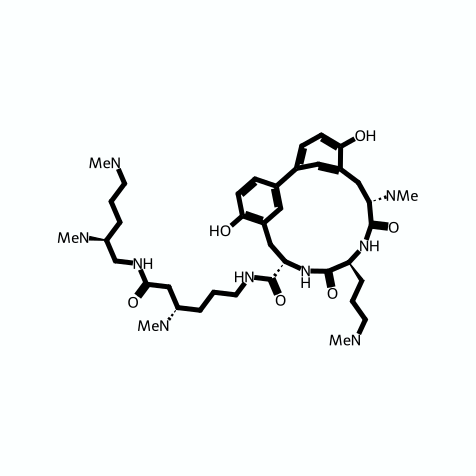 CNCCC[C@@H](CNC(=O)C[C@H](CCCNC(=O)[C@@H]1Cc2cc(ccc2O)-c2ccc(O)c(c2)C[C@H](NC)C(=O)N[C@@H](CCCNC)C(=O)N1)NC)NC